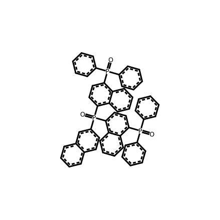 O=P(c1ccccc1)(c1ccccc1)c1ccc(P(=O)(c2ccc3ccccc3c2)c2ccc(P(=O)(c3ccccc3)c3ccccc3)c3ccccc23)c2ccccc12